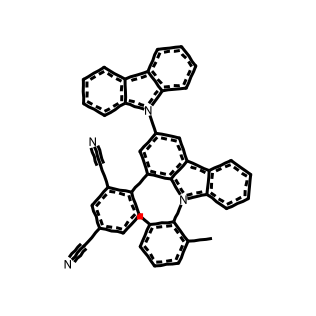 Cc1cccc(C)c1-n1c2ccccc2c2cc(-n3c4ccccc4c4ccccc43)cc(-c3ccc(C#N)cc3C#N)c21